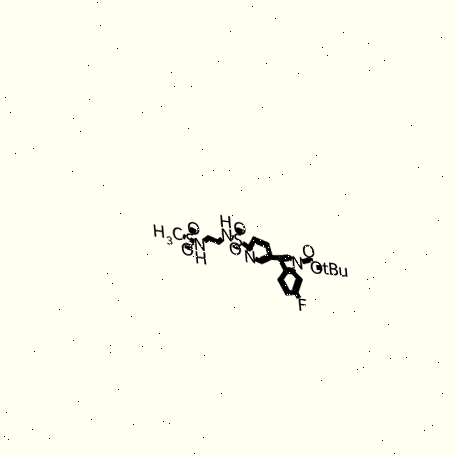 CC(C)(C)OC(=O)n1cc(-c2ccc(S(=O)(=O)NCCNS(C)(=O)=O)nc2)c2ccc(F)cc21